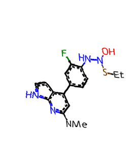 CCSN(O)Nc1ccc(-c2cc(NC)nc3[nH]ccc23)cc1F